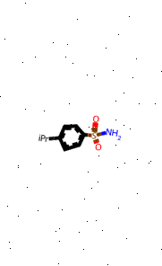 [CH2]C(C)c1ccc(S(N)(=O)=O)cc1